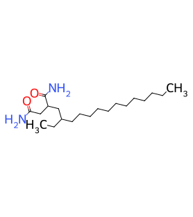 CCCCCCCCCCCCC(CC)CC(CC(N)=O)C(N)=O